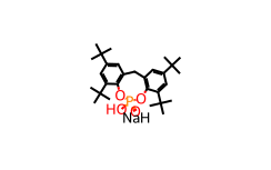 CC(C)(C)c1cc2c(c(C(C)(C)C)c1)OP(=O)(O)Oc1c(cc(C(C)(C)C)cc1C(C)(C)C)C2.[NaH]